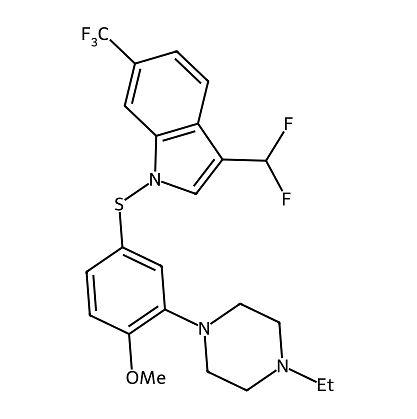 CCN1CCN(c2cc(Sn3cc(C(F)F)c4ccc(C(F)(F)F)cc43)ccc2OC)CC1